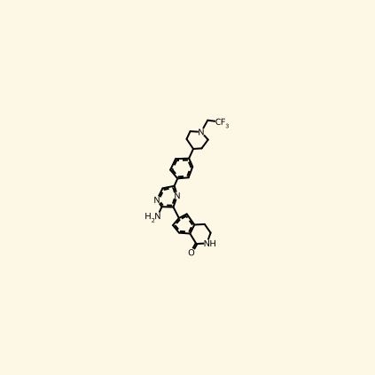 Nc1ncc(-c2ccc(C3CCN(CC(F)(F)F)CC3)cc2)nc1-c1ccc2c(c1)CCNC2=O